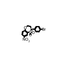 O=[N+]([O-])c1ccc2c(c1)S(=O)(=O)N(c1ccc(Br)cc1)CCO2